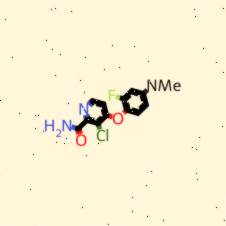 CNc1ccc(Oc2ccnc(C(N)=O)c2Cl)c(F)c1